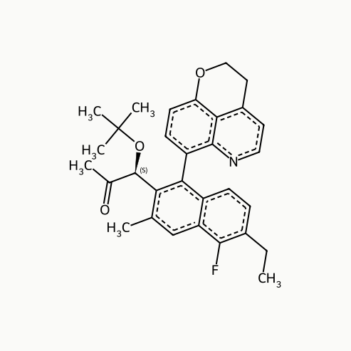 CCc1ccc2c(-c3ccc4c5c(ccnc35)CCO4)c([C@H](OC(C)(C)C)C(C)=O)c(C)cc2c1F